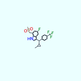 CC1CC1C(c1ccc(C(F)(F)F)cc1)c1c[nH]c2c(CS(C)(=O)=O)cc(F)cc12